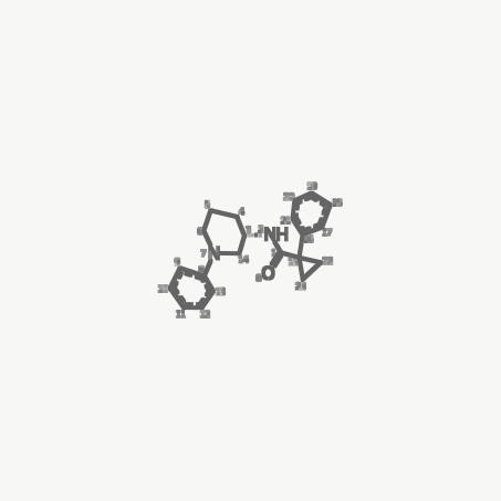 O=C(N[C@H]1CCCN(c2ccccc2)C1)C1(c2ccccc2)CC1